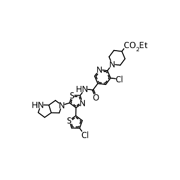 CCOC(=O)C1CCN(c2ncc(C(=O)Nc3nc(-c4cc(Cl)cs4)c(N4CC5CCNC5C4)s3)cc2Cl)CC1